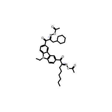 CCCCCC/C(=N\OC(C)=O)C(=O)c1ccc2c(c1)c1cc(C(=O)/C(CC3CCCCC3)=N/OC(C)=O)ccc1n2CC